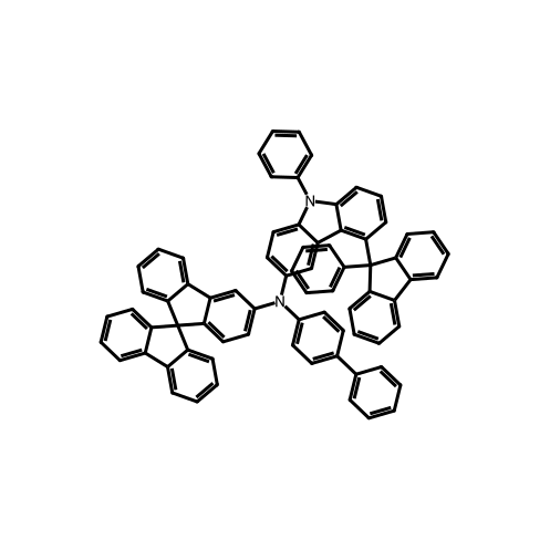 c1ccc(-c2ccc(N(c3ccc4c(c3)-c3ccccc3C43c4ccccc4-c4ccccc43)c3ccc4c(c3)c3c(C5(c6ccccc6)c6ccccc6-c6ccccc65)cccc3n4-c3ccccc3)cc2)cc1